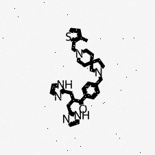 Cc1ccsc1CN1CCC2(CC1)CCN(Cc1ccc(C(=O)C(Cc3ncc[nH]3)Cc3ncc[nH]3)cc1)C2